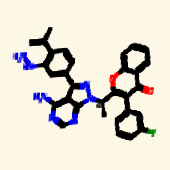 C=C(C)c1ccc(-c2nn([C@H](C)c3oc4ccccc4c(=O)c3-c3cccc(F)c3)c3ncnc(N)c23)cc1NN